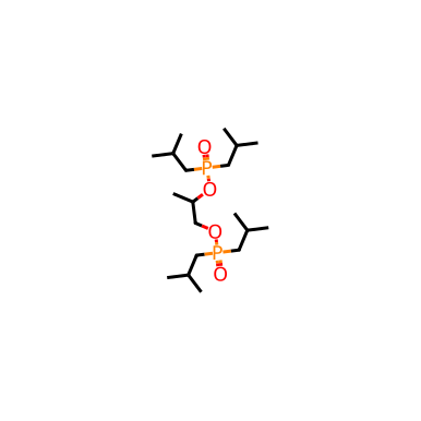 CC(C)CP(=O)(CC(C)C)OCC(C)OP(=O)(CC(C)C)CC(C)C